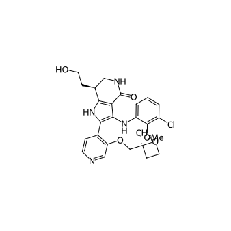 COc1c(Cl)cccc1Nc1c(-c2ccncc2OC[C@]2(C)CCO2)[nH]c2c1C(=O)NC[C@@H]2CCO